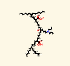 CCCCCCC(CCCCCC)CCCC(CCCCCCC(O)(CCCCCCC(CCCC(CCCCCC)CCCCCC)C(=O)O)CCCCN(CCC)CCC)C(=O)O